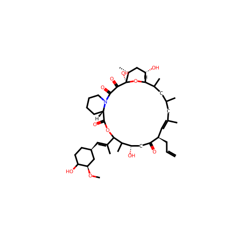 C=CC[C@@H]1/C=C(\C)CC(C)CC(C)[C@H]2O[C@@](O)(C(=O)C(=O)N3CCCC[C@H]3C(=O)OC(/C(C)=C/[C@@H]3CCC(O)[C@H](OC)C3)C(C)[C@@H](O)CC1=O)[C@H](C)C[C@@H]2O